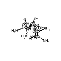 CC(C)CCOc1cc(OCCC(C)C)c(C(=O)NNC(=O)c2cc(C(=O)NCCN(C)C)c(OCCCCCN)cc2OCCCCCN)cc1C(=O)NNC(=O)c1cc(C(=O)NCCN(C)C)c(OCCCCCN)cc1OCCCCN